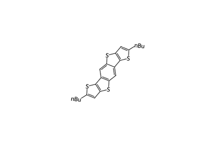 CCCCc1cc2sc3cc4c(cc3c2s1)sc1cc(CCCC)sc14